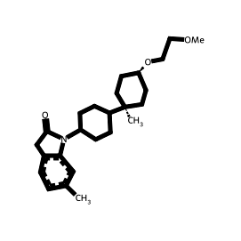 COCCO[C@H]1CC[C@](C)(C2CCC(N3C(=O)Cc4ccc(C)cc43)CC2)CC1